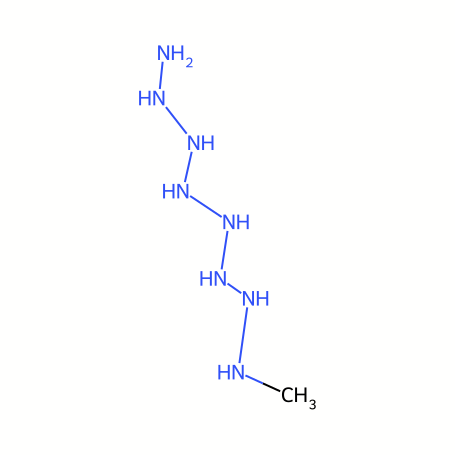 CNNNNNNNN